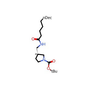 CCCCCCCCCCCCCCC(=O)NC[C@H]1CCN(C(=O)OC(C)(C)C)C1